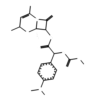 CC1C=C(C(=O)O)N2C(=O)C(NC(=O)C(NC(=O)OC(C)(C)C)c3ccc([S+](C)[O-])cc3)[C@H]2S1